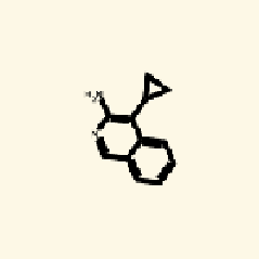 Nc1ncc2ccccc2c1C1CC1